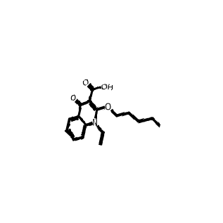 CCCCCOc1c(C(=O)O)c(=O)c2ccccc2n1CC